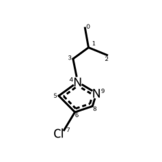 CC(C)Cn1cc(Cl)cn1